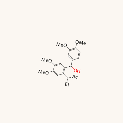 CCC(C(C)=O)c1cc(OC)c(OC)cc1C(O)c1ccc(OC)c(OC)c1